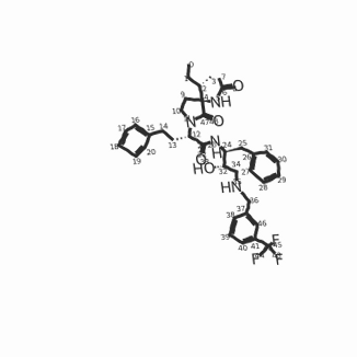 CC[C@H](C)[C@@]1(NC(C)=O)CCN([C@@H](CCc2ccccc2)C(=O)N[C@@H](Cc2ccccc2)[C@@H](O)CNCc2cccc(C(F)(F)F)c2)C1=O